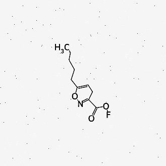 CCCCCC1=CCC(C(=O)OF)=NO1